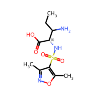 CCC(N)[C@H](NS(=O)(=O)c1c(C)noc1C)C(=O)O